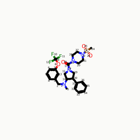 CN(Cc1cccc(OC(F)(F)F)c1)C1CN(C(=O)N2CCN(S(C)(=O)=O)CC2)CC1c1ccccc1